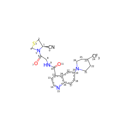 N#C[C@@H]1CSCN1C(=O)CNC(=O)c1ccnc2ccc(N3CCC(C(F)(F)F)CC3)cc12